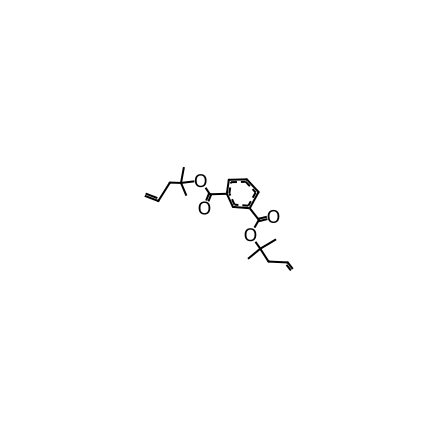 C=CCC(C)(C)OC(=O)c1cccc(C(=O)OC(C)(C)CC=C)c1